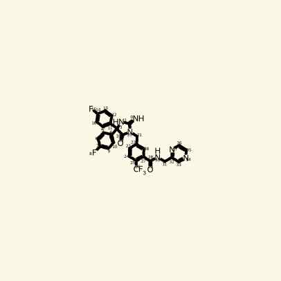 N=C1NC(c2ccc(F)cc2)(c2ccc(F)cc2)C(=O)N1Cc1ccc(C(F)(F)F)c(C(=O)NCc2cnccn2)c1